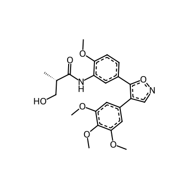 COc1ccc(-c2oncc2-c2cc(OC)c(OC)c(OC)c2)cc1NC(=O)[C@@H](C)CO